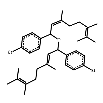 CCc1ccc(C(C=C(C)CCC(C)=C(C)C)OC(C=C(C)CCC(C)=C(C)C)c2ccc(CC)cc2)cc1